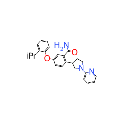 CC(C)c1ccccc1Oc1ccc(C2CCN(c3ccccn3)C2)c(C(N)=O)c1